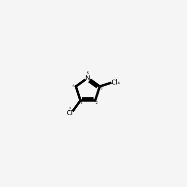 ClC1=CC(Cl)=NC1